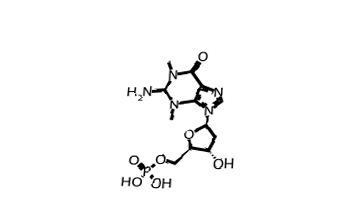 CN1C(=O)c2ncn([C@H]3C[C@H](O)[C@@H](COP(=O)(O)O)O3)c2N(C)C1N